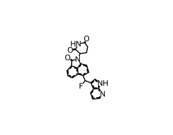 O=C1CCC(N2C(=O)c3cccc4c(C(F)c5c[nH]c6ncccc56)ccc2c34)C(=O)N1